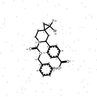 COC(=O)c1ccc(C2CC3(CCN2C(=O)OCc2ccccc2)CC3(F)Br)cc1